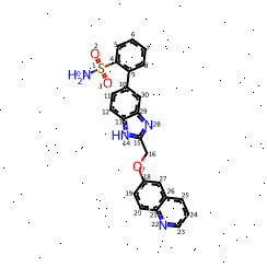 NS(=O)(=O)c1ccccc1-c1ccc2[nH]c(COc3ccc4ncccc4c3)nc2c1